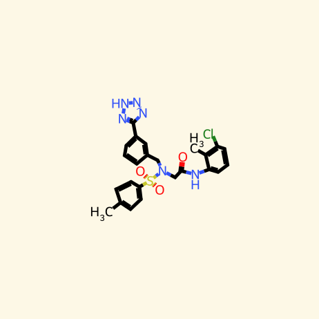 Cc1ccc(S(=O)(=O)N(CC(=O)Nc2cccc(Cl)c2C)Cc2cccc(-c3nn[nH]n3)c2)cc1